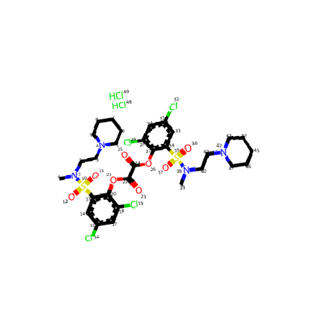 CN(CCN1CCCCC1)S(=O)(=O)c1cc(Cl)cc(Cl)c1OC(=O)C(=O)Oc1c(Cl)cc(Cl)cc1S(=O)(=O)N(C)CCN1CCCCC1.Cl.Cl